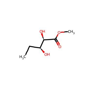 CC[C@H](O)[C@@H](O)C(=O)OC